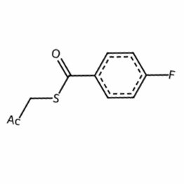 CC(=O)CSC(=O)c1ccc(F)cc1